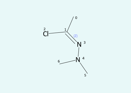 C/C(Cl)=N/N(C)C